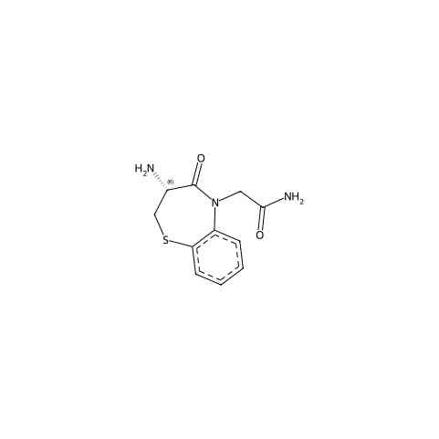 NC(=O)CN1C(=O)[C@@H](N)CSc2ccccc21